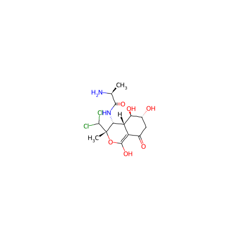 C[C@H](N)C(=O)N[C@@H]1[C@H]2C(=C(O)O[C@]1(C)C(Cl)Cl)C(=O)C[C@@H](O)[C@@H]2O